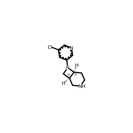 Clc1cncc(N2C[C@@H]3CNCC[C@@H]32)c1